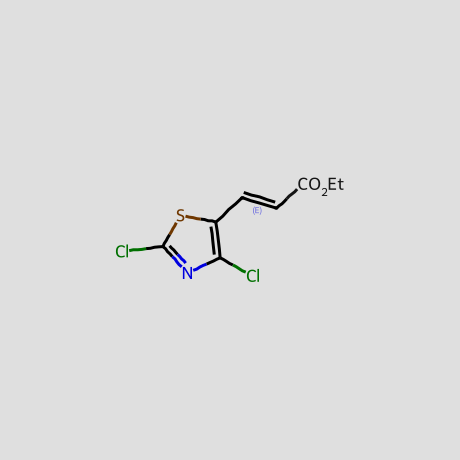 CCOC(=O)/C=C/c1sc(Cl)nc1Cl